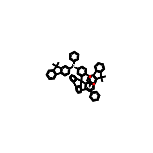 CC1(C)c2ccccc2-c2ccc(N(c3ccccc3)c3ccc4c(c3)C3(c5ccccc5O4)c4ccccc4-c4cccc(N(c5ccccc5)c5ccc6c(c5)C(C)(C)c5ccccc5-6)c43)cc21